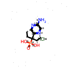 CCC(CC)(c1cnc(N)cn1)P(=O)(O)O.Cl